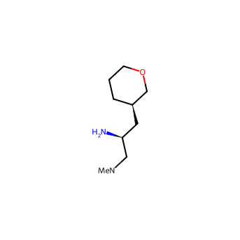 CNC[C@@H](N)C[C@H]1CCCOC1